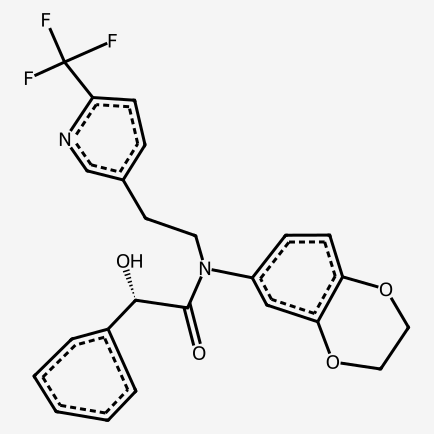 O=C([C@@H](O)c1ccccc1)N(CCc1ccc(C(F)(F)F)nc1)c1ccc2c(c1)OCCO2